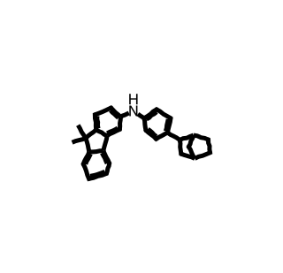 CC1(C)c2ccccc2-c2cc(Nc3ccc(C4CC5CCC4C5)cc3)ccc21